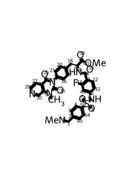 CNCc1ccc(S(=O)(=O)Nc2ccc(C(=O)N[C@@H](Cc3ccc(-n4c(=O)c5ccncc5n(C)c4=O)cc3)C(=O)OC)c(F)c2)cc1